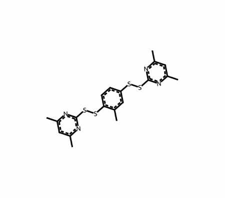 Cc1cc(C)nc(SSc2ccc(SSc3nc(C)cc(C)n3)c(C)c2)n1